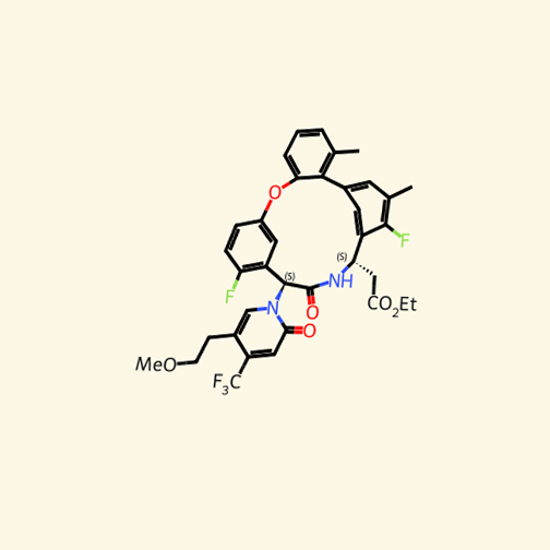 CCOC(=O)C[C@@H]1NC(=O)[C@@H](n2cc(CCOC)c(C(F)(F)F)cc2=O)c2cc(ccc2F)Oc2cccc(C)c2-c2cc(C)c(F)c1c2